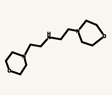 C(CN1CCOCC1)NCCN1CCOCC1